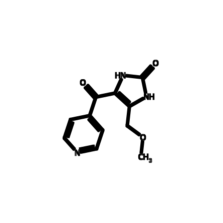 COCc1[nH]c(=O)[nH]c1C(=O)c1ccncc1